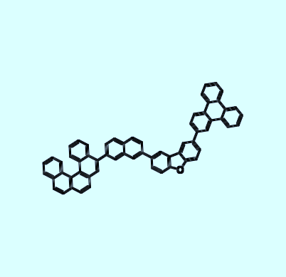 c1ccc2c(c1)ccc1ccc3cc(-c4ccc5ccc(-c6ccc7oc8ccc(-c9ccc%10c%11ccccc%11c%11ccccc%11c%10c9)cc8c7c6)cc5c4)c4ccccc4c3c12